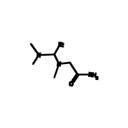 CCC(N(C)C)N(C)CC(N)=O